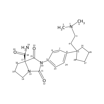 CN(C)CCC1(c2ccc(N3C(=O)N4CC[CH][C@]4(C(N)=O)C3=O)cc2)CCCC1